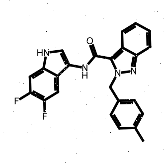 Cc1ccc(Cn2nc3ccccc3c2C(=O)Nc2c[nH]c3cc(F)c(F)cc23)cc1